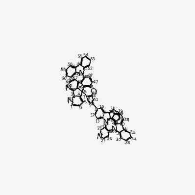 c1cnc2c(c1)C1(c3ccc(-c4ccc5c(c4)c4ccccc4n5-c4cnccc4-n4c5ccccc5c5ccccc54)cc3Oc3ccc(-n4c5ccccc5c5ccccc54)cc31)c1cccnc1-2